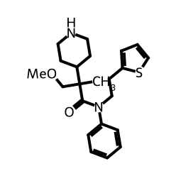 COCC(C)(C(=O)N(CCc1cccs1)c1ccccc1)C1CCNCC1